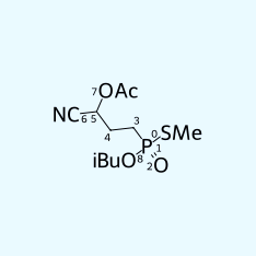 CSP(=O)(CCC(C#N)OC(C)=O)OCC(C)C